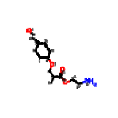 CC(COC1=CCC(=C=O)C=C1)C(=O)OCCN